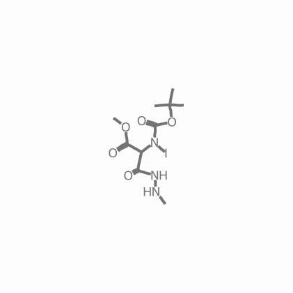 CNNC(=O)C(C(=O)OC)N(I)C(=O)OC(C)(C)C